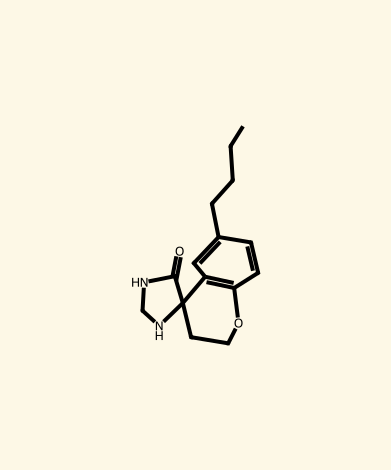 CCCCc1ccc2c(c1)C1(CCO2)NCNC1=O